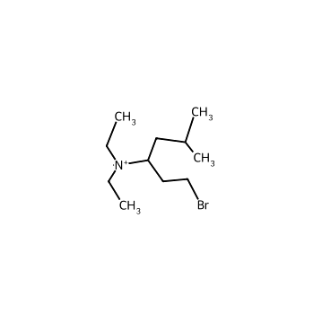 CC[N+](CC)C(CCBr)CC(C)C